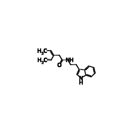 C=C/C(=C\C)CC(=O)NCCc1c[nH]c2ccccc12